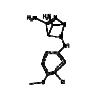 COc1ccc(NN2C3C(N)=NN2C3N)cc1Cl